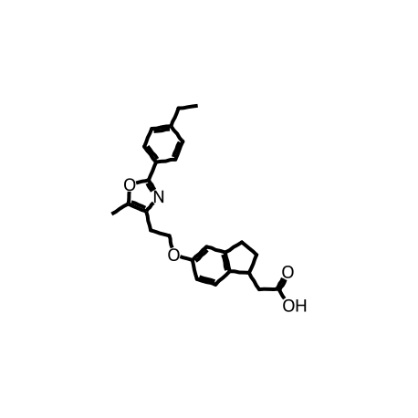 CCc1ccc(-c2nc(CCOc3ccc4c(c3)CCC4CC(=O)O)c(C)o2)cc1